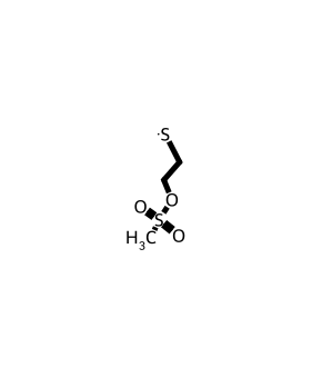 CS(=O)(=O)OCC[S]